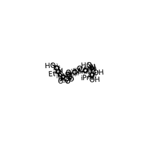 CCc1c2c(nc3ccc(O)cc13)-c1cc3c(c(=O)n1C2)COC(=O)C3(CC)OC(=O)C1CCN(C(=O)Cc2ccc(-n3c(O)nnc3-c3cc(C(C)C)c(O)cc3O)cc2)CC1